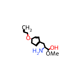 C=CCO[C@@H]1C=CC(C[C@H](N)[C@@H](O)OC)=CC1